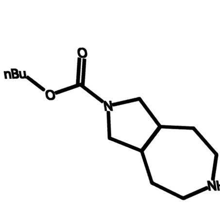 CCCCOC(=O)N1CC2CCNCCC2C1